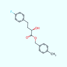 Cc1ccc(COC(=O)[C@H](O)CCc2ccc(F)cc2)cc1